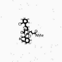 CNC(=O)CCn1c(=O)n(-c2cncc3ccccc23)c(=O)c2sc(-c3ccccc3Cl)cc21